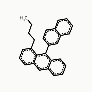 CCCCc1cccc2cc3ccccc3c(-c3ccc4ccccc4c3)c12